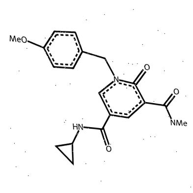 CNC(=O)c1cc(C(=O)NC2CC2)cn(Cc2ccc(OC)cc2)c1=O